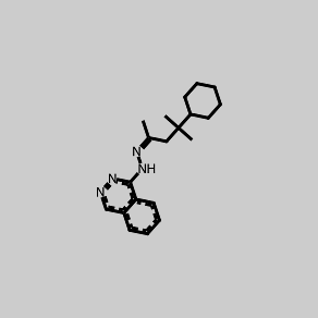 C/C(CC(C)(C)C1CCCCC1)=N/Nc1nncc2ccccc12